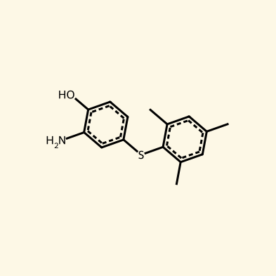 Cc1cc(C)c(Sc2ccc(O)c(N)c2)c(C)c1